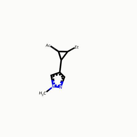 CCC1C(C(C)=O)C1c1cnn(C)c1